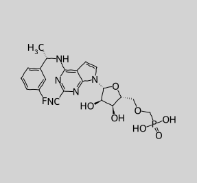 C[C@H](Nc1nc(C#N)nc2c1ccn2[C@@H]1O[C@H](COCP(=O)(O)O)[C@@H](O)[C@H]1O)c1cccc(F)c1